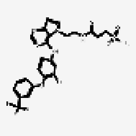 CS(=O)(=O)CCC(=O)NCCn1ccc2ncnc(Nc3ccc(Oc4cccc(C(F)(F)F)c4)c(Cl)c3)c21